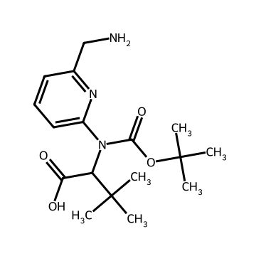 CC(C)(C)OC(=O)N(c1cccc(CN)n1)C(C(=O)O)C(C)(C)C